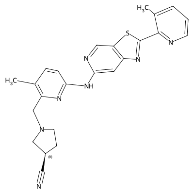 Cc1ccc(Nc2cc3nc(-c4ncccc4C)sc3cn2)nc1CN1CC[C@@H](C#N)C1